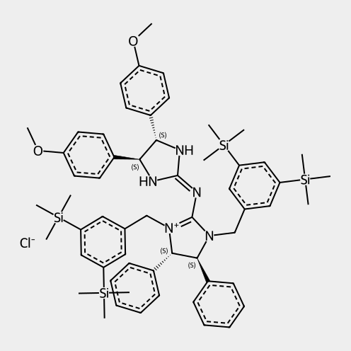 COc1ccc([C@@H]2NC(=NC3=[N+](Cc4cc([Si](C)(C)C)cc([Si](C)(C)C)c4)[C@@H](c4ccccc4)[C@H](c4ccccc4)N3Cc3cc([Si](C)(C)C)cc([Si](C)(C)C)c3)N[C@H]2c2ccc(OC)cc2)cc1.[Cl-]